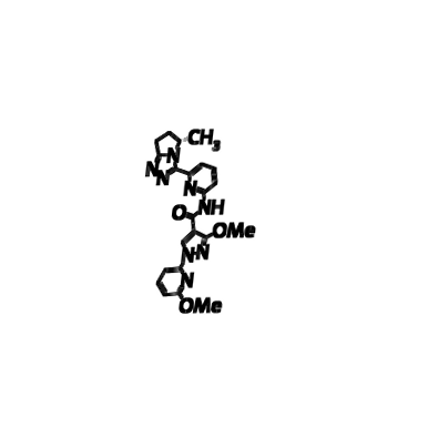 COc1cccc(-n2cc(C(=O)Nc3cccc(-c4nnc5n4[C@@H](C)CC5)n3)c(OC)n2)n1